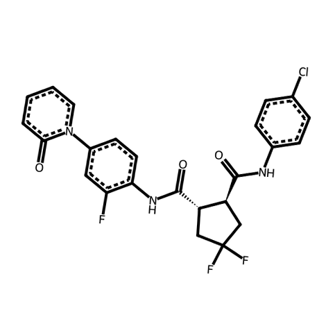 O=C(Nc1ccc(Cl)cc1)[C@H]1CC(F)(F)C[C@@H]1C(=O)Nc1ccc(-n2ccccc2=O)cc1F